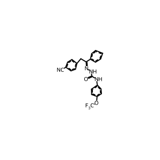 N#Cc1ccc(CC(=NNC(=O)Nc2ccc(OC(F)(F)F)cc2)c2ccccc2)cc1